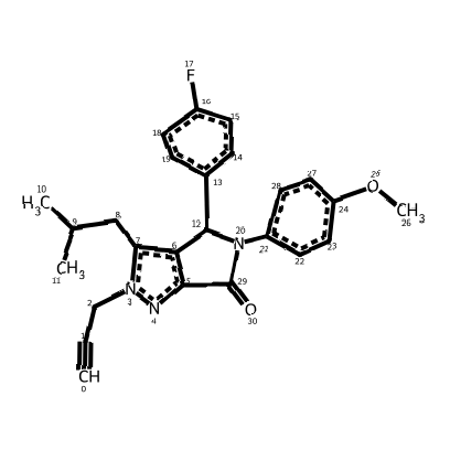 C#CCn1nc2c(c1CC(C)C)C(c1ccc(F)cc1)N(c1ccc(OC)cc1)C2=O